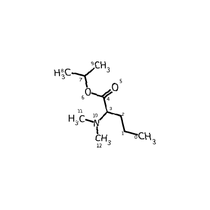 CCCC(C(=O)OC(C)C)N(C)C